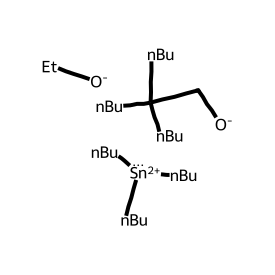 CCCCC(C[O-])(CCCC)CCCC.CCC[CH2][Sn+2]([CH2]CCC)[CH2]CCC.CC[O-]